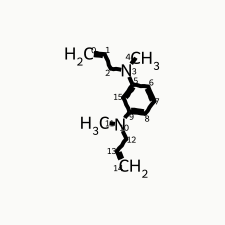 C=CCN(C)c1cccc(N(C)CC=C)c1